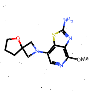 COc1ncc(N2CC3(CCCO3)C2)c2sc(N)nc12